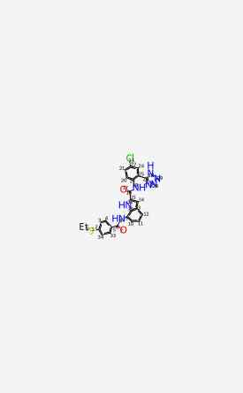 CCSc1ccc(C(=O)Nc2cccc3cc(C(=O)Nc4ccc(Cl)cc4-c4nnn[nH]4)[nH]c23)cc1